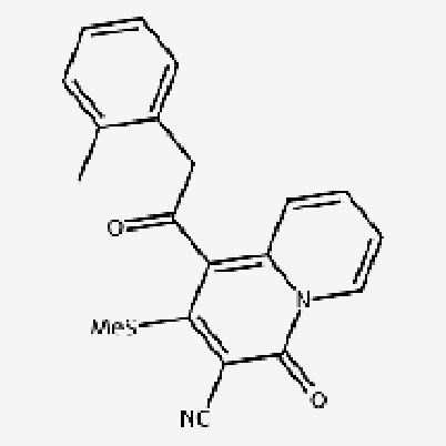 CSc1c(C#N)c(=O)n2ccccc2c1C(=O)Cc1ccccc1C